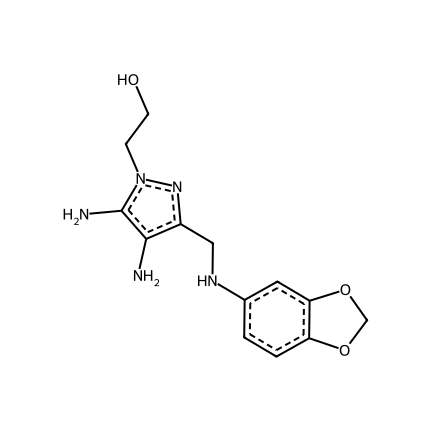 Nc1c(CNc2ccc3c(c2)OCO3)nn(CCO)c1N